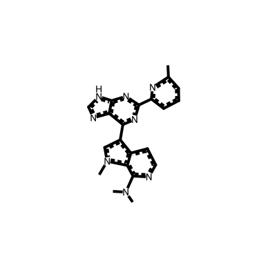 Cc1cccc(-c2nc(-c3cn(C)c4c(N(C)C)nccc34)c3nc[nH]c3n2)n1